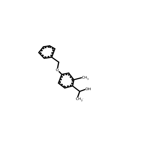 [CH2]C(O)c1ccc(OCc2ccccc2)cc1C